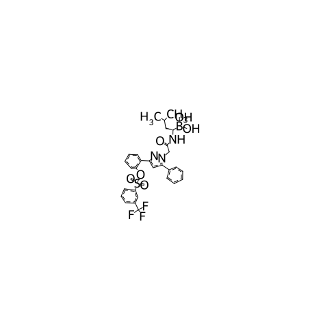 CC(C)C[C@H](NC(=O)Cn1nc(-c2ccccc2OS(=O)(=O)c2cccc(C(F)(F)F)c2)cc1-c1ccccc1)B(O)O